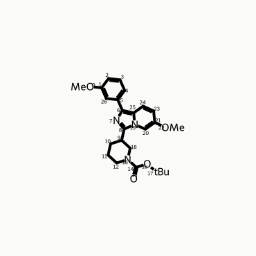 COc1cccc(-c2nc(C3CCCN(C(=O)OC(C)(C)C)C3)n3cc(OC)ccc23)c1